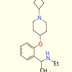 [CH2]C(NCC)c1ccccc1OC1CCN(C2CCC2)CC1